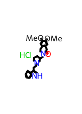 COc1cc2c(cc1OC)CC(=O)N(CC1CCCN(CCc3c[nH]c4ccccc34)C1)CC2.Cl